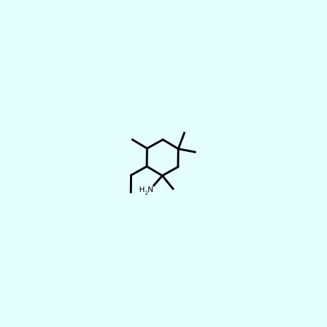 CCC1C(C)CC(C)(C)CC1(C)N